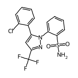 NS(=O)(=O)c1ccccc1-n1nc(C(F)(F)F)cc1-c1ccccc1Cl